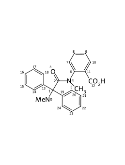 CNC(C(=O)N(C)c1ccccc1C(=O)O)(c1ccccc1)c1ccccc1